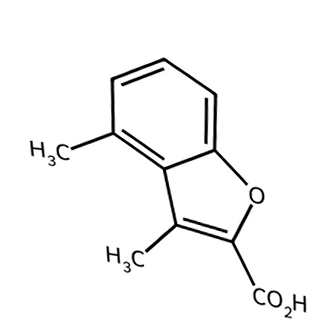 Cc1cccc2oc(C(=O)O)c(C)c12